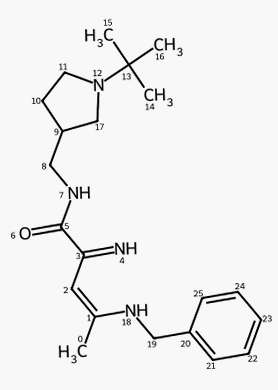 C/C(=C/C(=N)C(=O)NCC1CCN(C(C)(C)C)C1)NCc1ccccc1